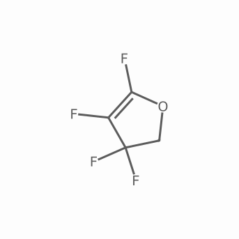 FC1=C(F)C(F)(F)CO1